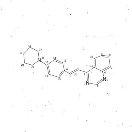 C(=C\c1ncnc2ccccc12)/c1ccc(N2CCCCC2)cc1